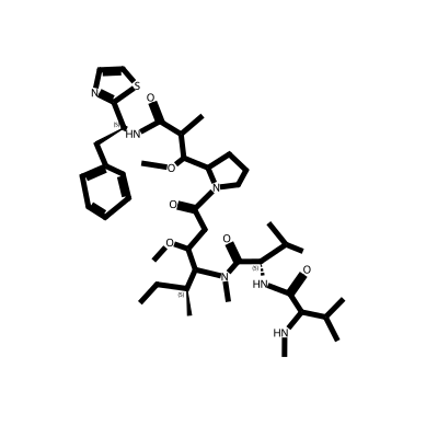 CC[C@H](C)C(C(CC(=O)N1CCCC1C(OC)C(C)C(=O)N[C@@H](Cc1ccccc1)c1nccs1)OC)N(C)C(=O)[C@@H](NC(=O)C(NC)C(C)C)C(C)C